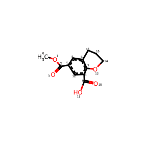 COC(=O)c1cc2c(c(C(=O)O)c1)OCCC2